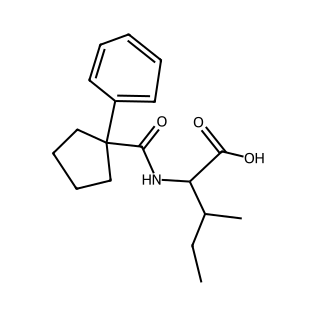 CCC(C)C(NC(=O)C1(c2ccccc2)CCCC1)C(=O)O